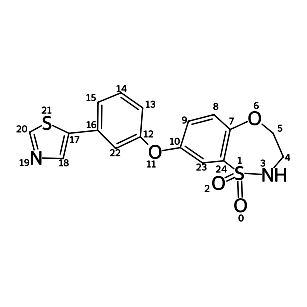 O=S1(=O)NCCOc2ccc(Oc3cccc(-c4cncs4)c3)cc21